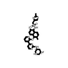 Cc1nc(CS(=O)(=O)Nc2c(F)ccc3c(Oc4ncccc4-c4ccnc(N[C@@H]5CNC[C@@H](F)C5)n4)c(C)ccc23)cs1